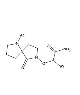 CC(=O)N1CCCC12CCN(OC(C(N)=O)C(C)C)C2=O